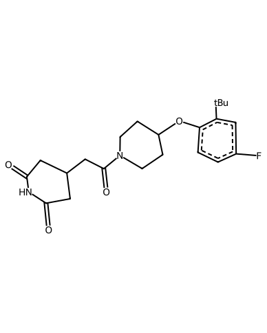 CC(C)(C)c1cc(F)ccc1OC1CCN(C(=O)CC2CC(=O)NC(=O)C2)CC1